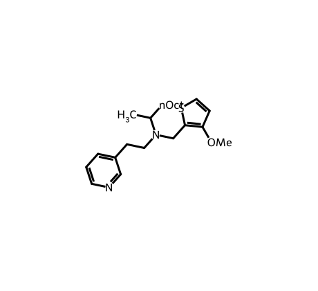 CCCCCCCCC(C)N(CCc1cccnc1)Cc1sccc1OC